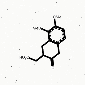 COc1ccc2c(c1OC)CC(CC(=O)O)C(=O)C2